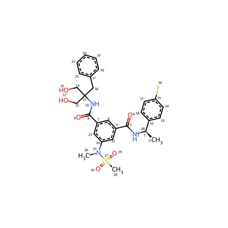 C[C@@H](NC(=O)c1cc(C(=O)NC(CO)(CO)Cc2ccccc2)cc(N(C)S(C)(=O)=O)c1)c1ccc(F)cc1